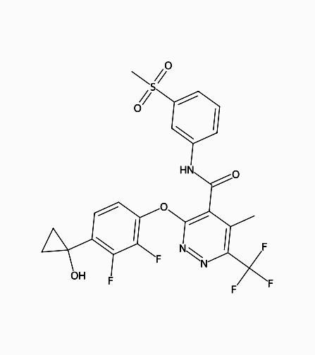 Cc1c(C(F)(F)F)nnc(Oc2ccc(C3(O)CC3)c(F)c2F)c1C(=O)Nc1cccc(S(C)(=O)=O)c1